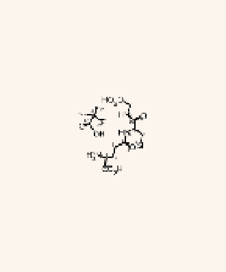 NC(CCC(=O)NC(CS)C(=O)NCC(=O)O)C(=O)O.O=C(O)C(F)(F)F